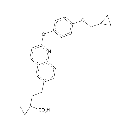 O=C(O)C1(CCc2ccc3nc(Oc4ccc(OCC5CC5)cc4)ccc3c2)CC1